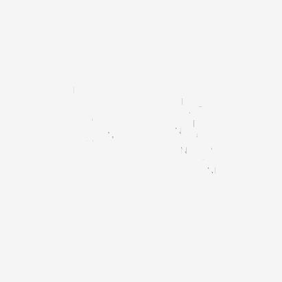 CCCCOC(=O)N1CCC(c2ccc3c(c2)n(CC(F)(F)F)c(=O)n3C2CCC(=O)NC2=O)CC1